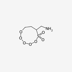 NCC1CCOOOOOS1(=O)=O